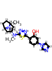 CN(c1nnc(-c2ccc(-n3ccnc3)cc2O)s1)[C@@H]1CC2CC[C@@](C)(C1)N2C